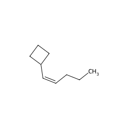 CCC/C=C\C1CCC1